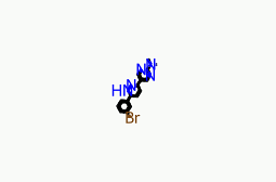 CN(C)c1ncc(C2=NNC(c3cccc(Br)c3)C=C2)cn1